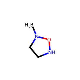 BN1CCNO1